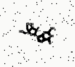 Nc1nc2c(ncn2[C@@H]2O[C@@](CO)(CCl)[C@@H](O)[C@@H]2F)c(=O)[nH]1